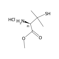 COC(=O)[C@@H](N)C(C)(C)S.Cl